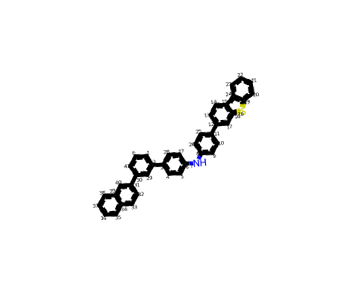 c1cc(-c2ccc(Nc3ccc(-c4ccc5c(c4)sc4ccccc45)cc3)cc2)cc(-c2ccc3ccccc3c2)c1